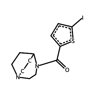 O=C(c1ccc(I)s1)N1CCN2CCC1CC2